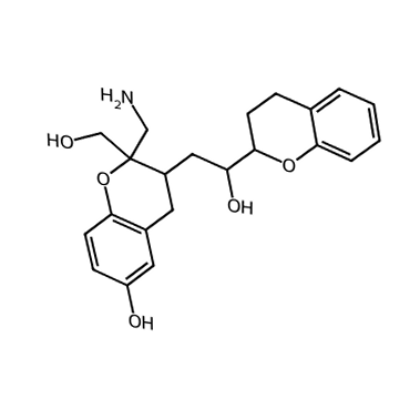 NCC1(CO)Oc2ccc(O)cc2CC1CC(O)C1CCc2ccccc2O1